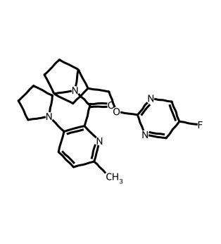 Cc1ccc(N2CCCC2)c(C(=O)N2C3CCC2C(COc2ncc(F)cn2)C3)n1